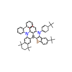 Cc1cc2c3c(c1)N(c1ccccc1-c1ccccc1)c1cc4c(cc1B3c1sc3ccc(C(C)(C)C)cc3c1N2C1=CCC(C(C)(C)C)C=C1)C(C)(C)CCC4(C)C